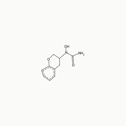 NC(=O)N(O)C1COc2ccccc2C1